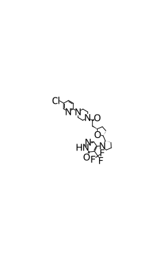 O=C(C[C@H]1CC[C@H]([C@@H]2CCCN2c2cn[nH]c(=O)c2C(F)(F)F)O1)N1CCN(c2ccc(Cl)cn2)CC1